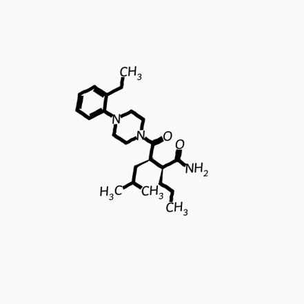 CCC[C@H](C(N)=O)[C@@H](CC(C)C)C(=O)N1CCN(c2ccccc2CC)CC1